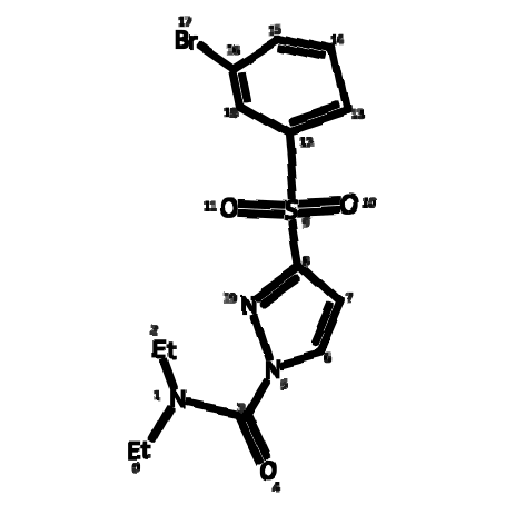 CCN(CC)C(=O)n1ccc(S(=O)(=O)c2cccc(Br)c2)n1